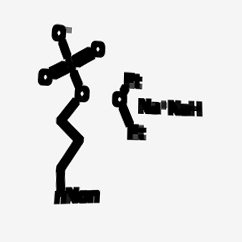 CCCCCCCCCCCCOS(=O)(=O)[O-].CCOCC.[Na+].[NaH]